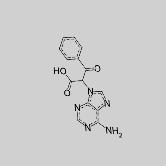 Nc1ncnc2c1ncn2C(C(=O)O)C(=O)c1ccccc1